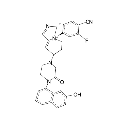 C[C@H]1N=CC2=CC(N3CCN(c4cccc5ccc(O)cc45)C(=O)C3)CC[N@+]21c1ccc(C#N)c(F)c1